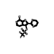 O=S(=O)(Oc1c(-c2ncccn2)oc2c(Cl)nccc12)C(F)(F)F